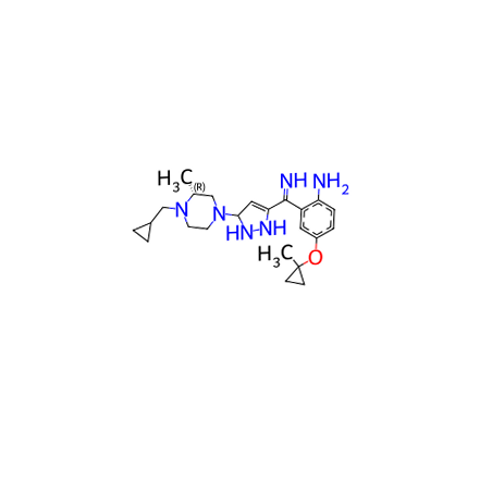 C[C@@H]1CN(C2C=C(C(=N)c3cc(OC4(C)CC4)ccc3N)NN2)CCN1CC1CC1